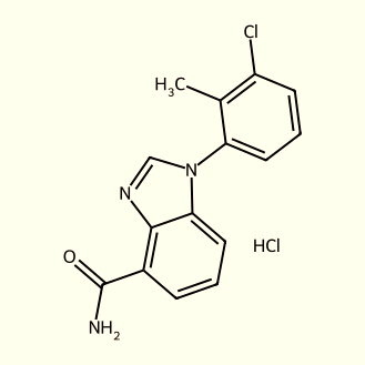 Cc1c(Cl)cccc1-n1cnc2c(C(N)=O)cccc21.Cl